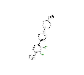 CCCC1CCC(c2ccc(-c3ccc(C(F)(F)F)c(F)c3F)cc2)CC1